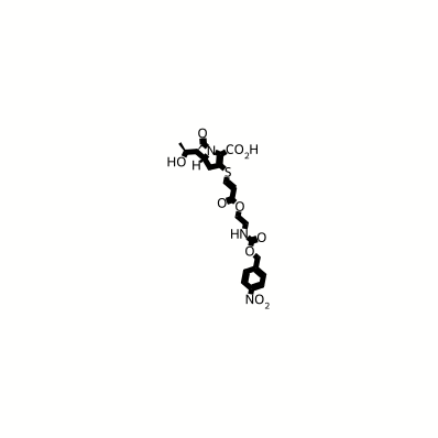 C[C@H](O)[C@@H]1C(=O)N2C(C(=O)O)=C(SC=CC(=O)OCCNC(=O)OCc3ccc([N+](=O)[O-])cc3)C[C@H]12